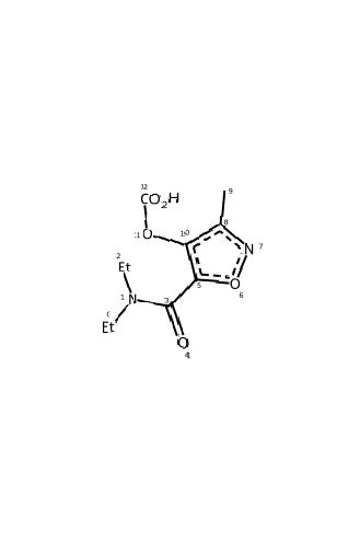 CCN(CC)C(=O)c1onc(C)c1OC(=O)O